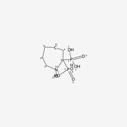 O=P(O)(O)C1(P(=O)(O)O)CCCCCN1Cl